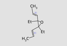 C/C=C/C1(CC)OC1(/C=C/C)CC